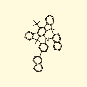 CC(C)(C)c1c2c(c(N(c3ccc(-c4ccc5ccccc5c4)cc3)c3cccc4ccccc34)c3c1-c1ccccc1C3(C)C)C(C)(C)c1ccccc1-2